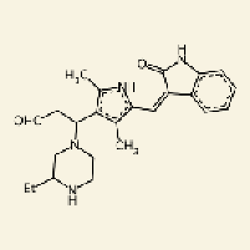 CCC1CN(C(CC=O)c2c(C)[nH]c(C=C3C(=O)Nc4ccccc43)c2C)CCN1